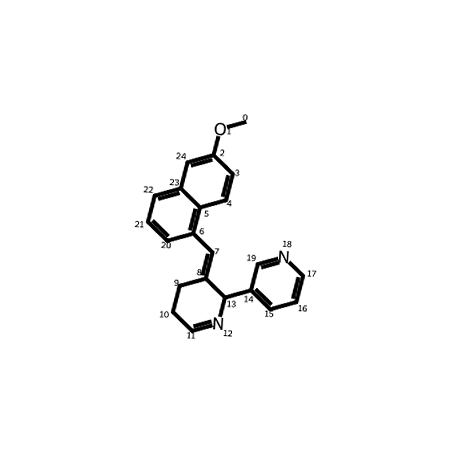 COc1ccc2c(/C=C3\CCC=NC3c3cccnc3)cccc2c1